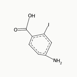 Nc1ccc(C(=O)O)c(I)c1